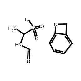 CC(NC=O)S(=O)(=O)Cl.c1ccc2c(c1)CO2